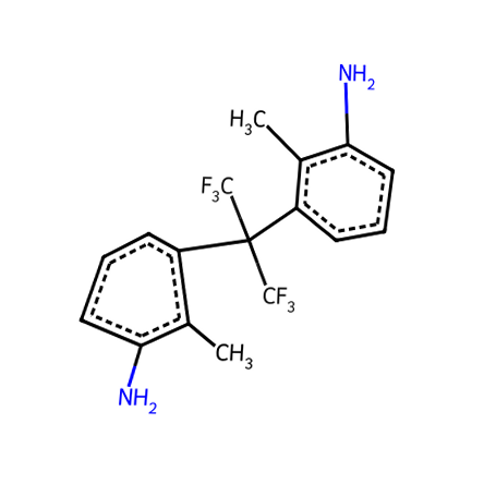 Cc1c(N)cccc1C(c1cccc(N)c1C)(C(F)(F)F)C(F)(F)F